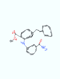 CC(C)(C)OC(=O)c1ccc(CCc2ccccc2)cc1Nc1cccc(C(N)=O)c1